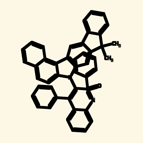 CC1(C)c2ccccc2-c2cc3c4c5ccccc5ccc4n(C4=C(c5ccccc5)c5ccccc5N=S4(=O)c4ccccc4)c3cc21